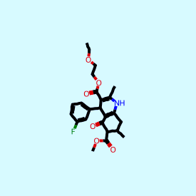 CCOCCOC(=O)C1=C(C)NC2=C(C(=O)C(C(=O)OC)C(C)C2)C1c1cccc(F)c1